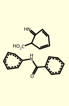 N=C1C=CC=CC1C(=O)O.O=C(Nc1ccccc1)c1ccccc1